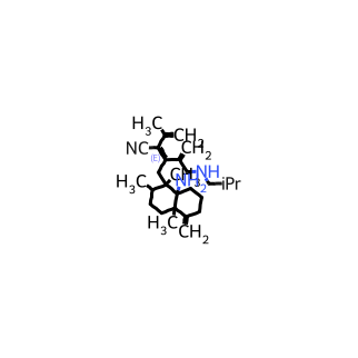 C=C(C)/C(C#N)=C(/CC1(C)C(C)CCC2(C)C(=C)CCCC21N)C(=C)CNCC(C)C